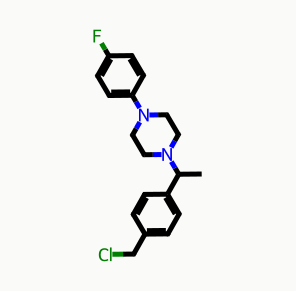 CC(c1ccc(CCl)cc1)N1CCN(c2ccc(F)cc2)CC1